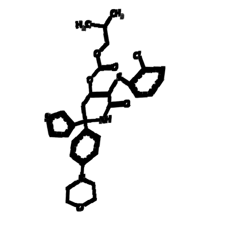 CC(C)COC(=O)OC1=C(Sc2ccccc2Cl)C(=O)NC(c2ccc(N3CCOCC3)cc2)(c2ccsc2)C1